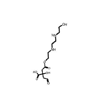 O=CCC(O)(CC(=O)OCCNCCNCCO)C(=O)O